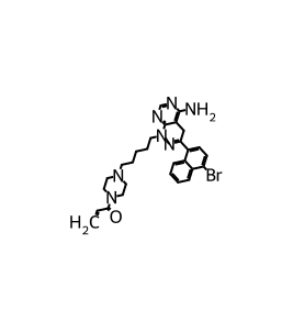 C=CC(=O)N1CCN(CCCCCN2N=C(c3ccc(Br)c4ccccc34)Cc3c(N)ncnc32)CC1